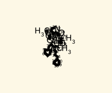 CC[C@H](Cc1ccccc1)[C@@H](OCCCc1ccccc1)[C@H](C)OC(=O)[C@H](C)NC(=O)c1nccc(OC)c1OC(C)=O